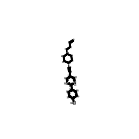 C=CCC[C@H]1CC[C@H](C#Cc2cnc(-c3ccc(Cl)cc3)nc2)CC1